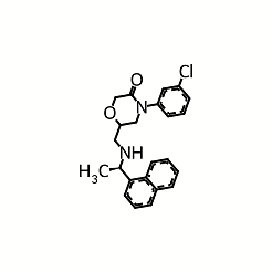 C[C@@H](NCC1CN(c2cccc(Cl)c2)C(=O)CO1)c1cccc2ccccc12